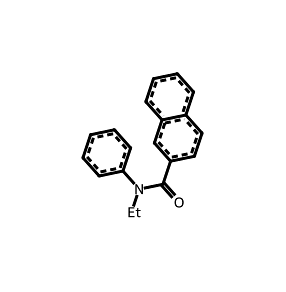 CCN(C(=O)c1ccc2ccccc2c1)c1ccccc1